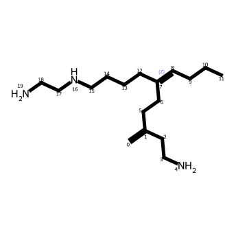 C=C(CCN)CC/C(=C\CCC)CCCCNCCN